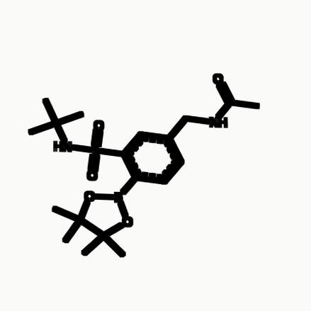 CC(=O)NCc1ccc(B2OC(C)(C)C(C)(C)O2)c(S(=O)(=O)NC(C)(C)C)c1